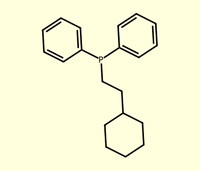 c1ccc(P(CCC2CCCCC2)c2ccccc2)cc1